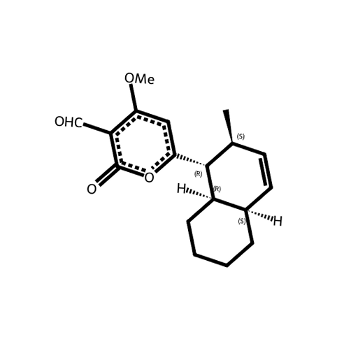 COc1cc([C@H]2[C@@H]3CCCC[C@@H]3C=C[C@@H]2C)oc(=O)c1C=O